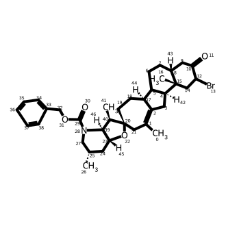 CC1=C2C[C@H]3C(CC[C@@H]4CC(=O)C(Br)C[C@@]43C)[C@@H]2CC[C@@]2(C1)O[C@@H]1C[C@H](C)CN(C(=O)OCc3ccccc3)[C@H]1[C@H]2C